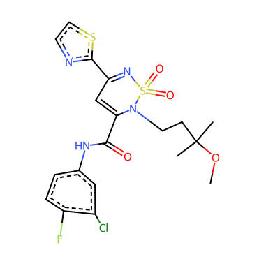 COC(C)(C)CCN1C(C(=O)Nc2ccc(F)c(Cl)c2)=CC(c2nccs2)=NS1(=O)=O